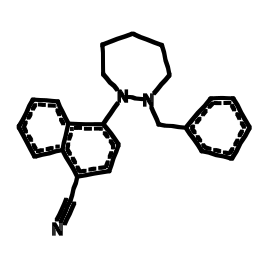 N#Cc1ccc(N2CCCCCN2Cc2ccccc2)c2ccccc12